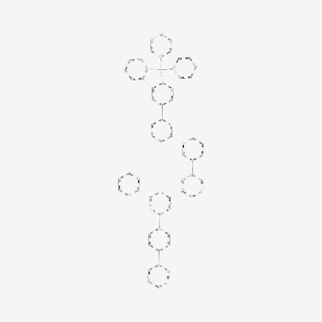 c1ccc(-c2nc(-c3ccc(-c4cccnc4)cc3)cc(-c3cccc(-c4cccc(-c5cccc(-c6ccc7c(c6)-c6ccccc6C7(c6ccccc6)c6ccccc6)c5)c4)c3)n2)cc1